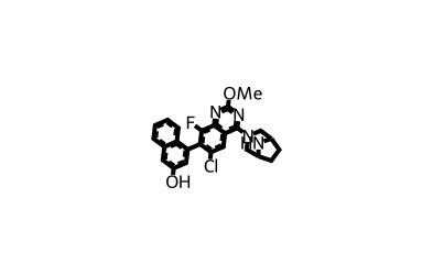 COc1nc(N2CC3CCC(C2)N3)c2cc(Cl)c(-c3cc(O)cc4ccccc34)c(F)c2n1